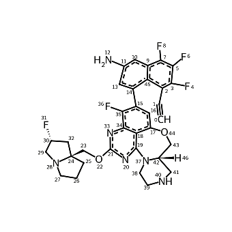 C#Cc1c(F)c(F)c(F)c2cc(N)cc(-c3cc4c5c(nc(OC[C@@]67CCCN6C[C@H](F)C7)nc5c3F)N3CCNC[C@H]3CO4)c12